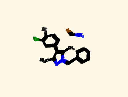 Cc1nn(Cc2ccccc2)c(C)c1-c1ccc(C#N)c(Cl)c1.NC=S